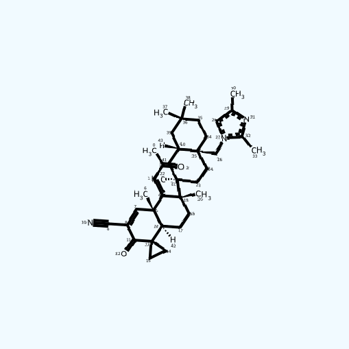 CC(=O)/C=C1/[C@@]2(C)C=C(C#N)C(=O)C3(CC3)[C@@H]2CC[C@@]1(C)[C@]1(C)CC[C@@]2(Cn3cc(C)nc3C)CCC(C)(C)C[C@H]2C1